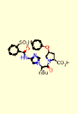 CCCCC(C(=O)N1C[C@@H](Oc2ccccc2)C[C@H]1C(=O)O)n1cnc(NC(=O)c2ccccc2S(=O)(=O)O)c1